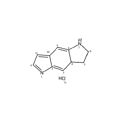 C1=NC2=CC3CCNC3=CC2=C1.Cl